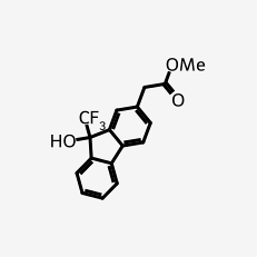 COC(=O)Cc1ccc2c(c1)C(O)(C(F)(F)F)c1ccccc1-2